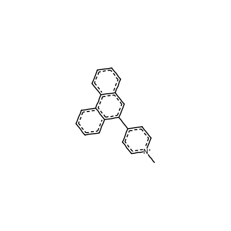 C[n+]1ccc(-c2cc3ccccc3c3ccccc23)cc1